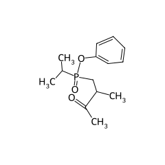 CC(=O)C(C)CP(=O)(Oc1ccccc1)C(C)C